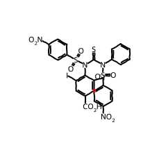 O=C(O)c1cc(I)c(N(C(=S)N(c2ccccc2)S(=O)(=O)c2ccc([N+](=O)[O-])cc2)S(=O)(=O)c2ccc([N+](=O)[O-])cc2)c(I)c1